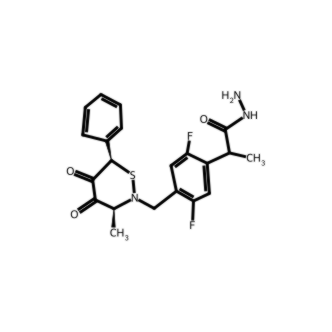 CC(C(=O)NN)c1cc(F)c(CN2S[C@H](c3ccccc3)C(=O)C(=O)[C@@H]2C)cc1F